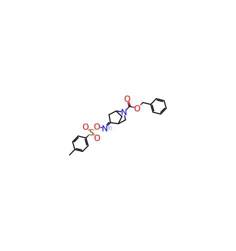 Cc1ccc(S(=O)(=O)O/N=C2\CC3CC2CN3C(=O)OCc2ccccc2)cc1